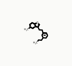 CCCC1CC2C=CC1N(CCc1coc3ccc(C)cc13)C2